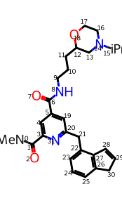 CNC(=O)c1cc(C(=O)NCCCC2CN(C(C)C)CCO2)cc(Cc2cccc3c2C=CC3)n1